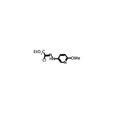 CCOC(=O)C(Cl)=NNc1ccc(OC)nc1